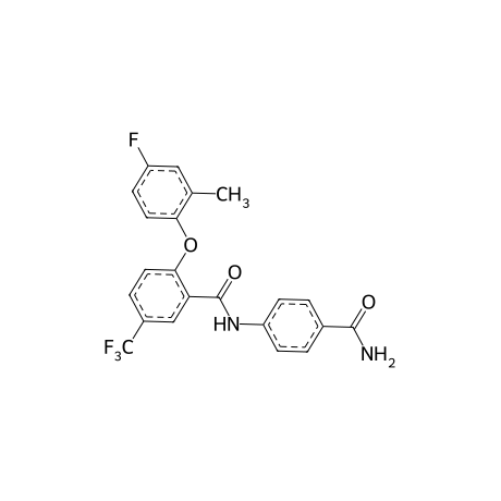 Cc1cc(F)ccc1Oc1ccc(C(F)(F)F)cc1C(=O)Nc1ccc(C(N)=O)cc1